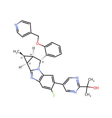 C[C@@H]1[C@@H]2c3nc4cc(F)c(-c5cnc(C(C)(C)O)nc5)cc4n3[C@@H](c3ccccc3OCc3ccncc3)[C@H]12